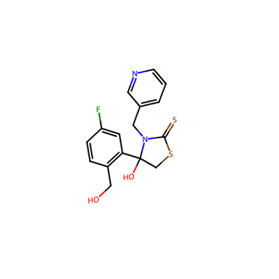 OCc1ccc(F)cc1C1(O)CSC(=S)N1Cc1cccnc1